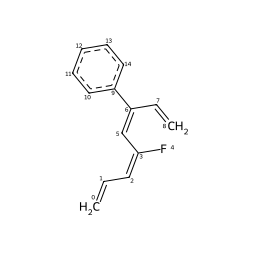 C=C/C=C(F)\C=C(/C=C)c1ccccc1